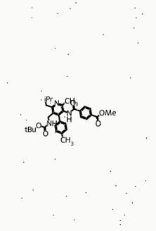 COC(=O)c1ccc(C(=O)Nc2c(C)nc(CC(C)C)c(CNC(=O)OC(C)(C)C)c2-c2ccc(C)cc2)cc1